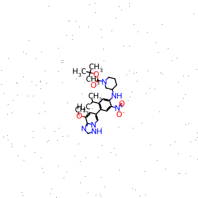 COC1=CC(c2cc([N+](=O)[O-])c(NC3CCCN(C(=O)OC(C)(C)C)C3)cc2C(C)C)=CN2NCN=C12